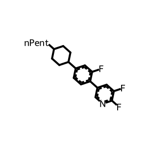 CCCCCC1CCC(c2ccc(-c3cnc(F)c(F)c3)c(F)c2)CC1